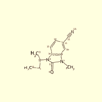 CCC(C)n1c(=O)n(C)c2cc(C#N)ccc21